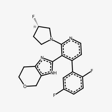 Fc1ccc(F)c(-c2ccnc(N3CC[C@H](F)C3)c2-c2nc3c([nH]2)COCC3)c1